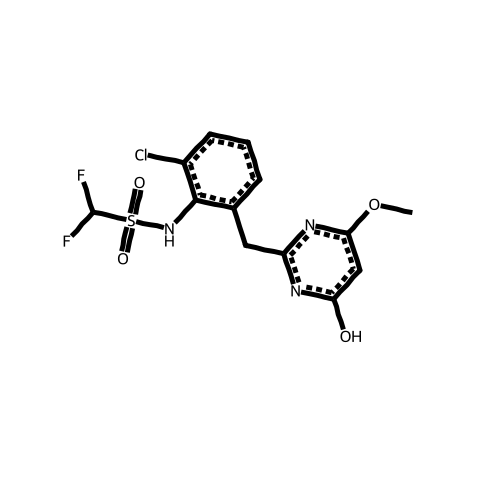 COc1cc(O)nc(Cc2cccc(Cl)c2NS(=O)(=O)C(F)F)n1